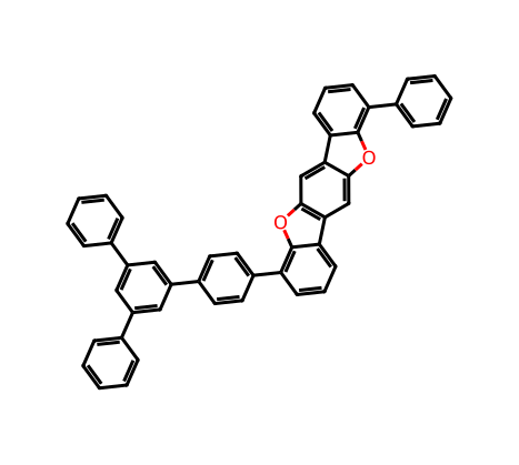 c1ccc(-c2cc(-c3ccccc3)cc(-c3ccc(-c4cccc5c4oc4cc6c(cc45)oc4c(-c5ccccc5)cccc46)cc3)c2)cc1